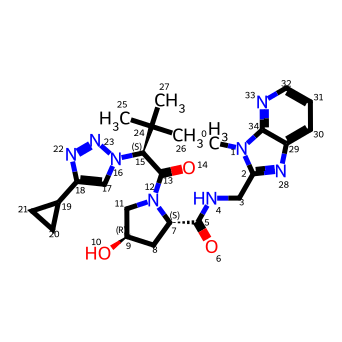 Cn1c(CNC(=O)[C@@H]2C[C@@H](O)CN2C(=O)[C@@H](n2cc(C3CC3)nn2)C(C)(C)C)nc2cccnc21